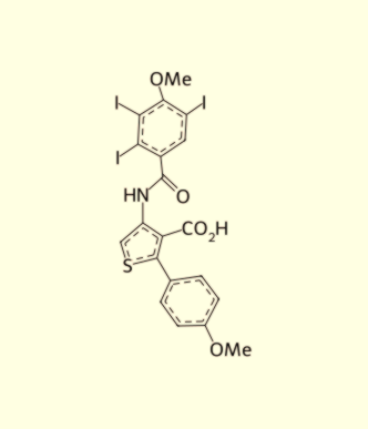 COc1ccc(-c2scc(NC(=O)c3cc(I)c(OC)c(I)c3I)c2C(=O)O)cc1